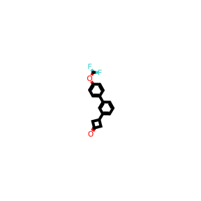 O=C1CC(c2cccc(-c3ccc(OC(F)F)cc3)c2)C1